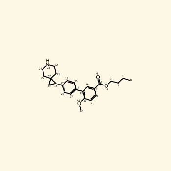 CCCCOC(=O)c1ccc(OC)c(-c2ccc([C@H]3CC34CCNCC4)cc2)c1